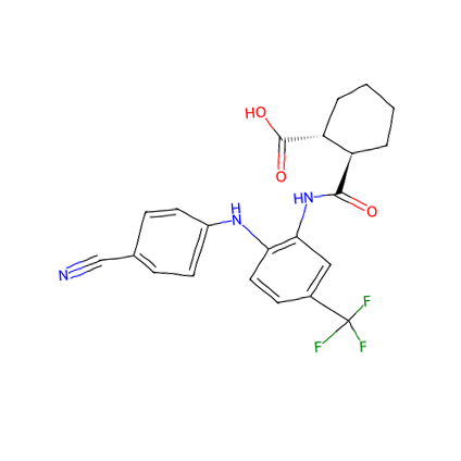 N#Cc1ccc(Nc2ccc(C(F)(F)F)cc2NC(=O)[C@@H]2CCCC[C@H]2C(=O)O)cc1